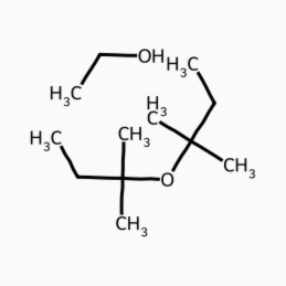 CCC(C)(C)OC(C)(C)CC.CCO